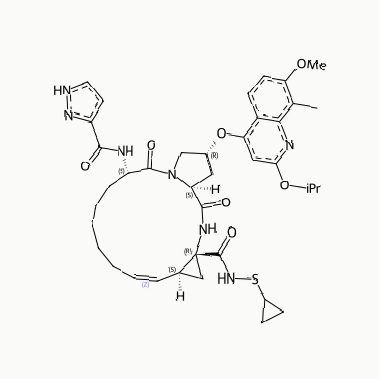 COc1ccc2c(O[C@@H]3C[C@H]4C(=O)N[C@]5(C(=O)NSC6CC6)C[C@H]5/C=C\CCCCC[C@H](NC(=O)c5cc[nH]n5)C(=O)N4C3)cc(OC(C)C)nc2c1C